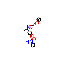 CCC(=NOCCCOC1CC2CCC1CC2)c1ccc(OCC(=O)Nc2ccccc2)cc1